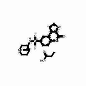 CCC(=O)O.O=c1[nH]c2ccc(S(=O)(=O)NC3CN4CCC3CC4)cc2c2cc[nH]c12